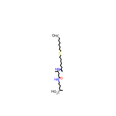 C=C(CCCCCCCSCCCCCCCC=O)NC(C)CCC(=O)NCCCCC(C)C(=O)O